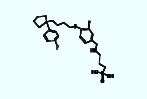 O=P(O)(O)CCCNCc1ccc(SCCCCC2(c3ccc(F)cc3)CCCC2)c(F)c1